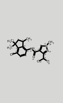 CC1CC(C)(C)c2c(Cl)ccc(NC(=O)c3cn(C)nc3C(Cl)Cl)c21